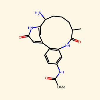 COC(=O)Nc1ccc2c(c1)NC(=O)C(C)CCCC(N)c1cc-2cc(=O)[nH]1